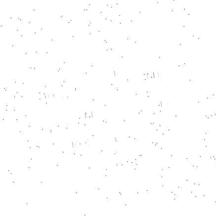 CC(C)(C)OC(=O)N[C@H](Cc1cc(I)c(N)c(I)c1)C(=O)O